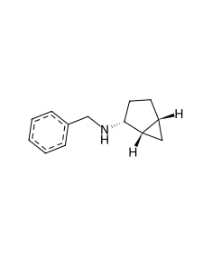 c1ccc(CN[C@@H]2CC[C@@H]3C[C@@H]32)cc1